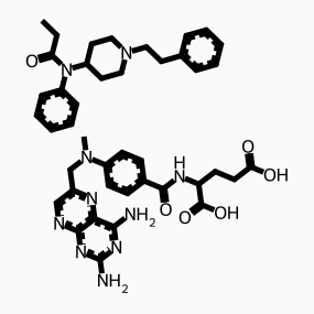 CCC(=O)N(c1ccccc1)C1CCN(CCc2ccccc2)CC1.CN(Cc1cnc2nc(N)nc(N)c2n1)c1ccc(C(=O)NC(CCC(=O)O)C(=O)O)cc1